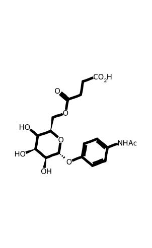 CC(=O)Nc1ccc(O[C@H]2O[C@H](COC(=O)CCC(=O)O)C(O)[C@H](O)[C@@H]2O)cc1